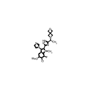 COc1cc2c(-n3ccnc3)c(-c3n[nH]c([C@H](C)N4CC5(COC5)C4)n3)n(C)c2c(F)c1Cl